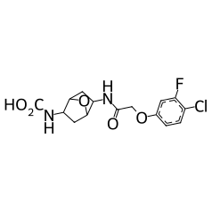 O=C(O)NC1CC2OC1CC2NC(=O)COc1ccc(Cl)c(F)c1